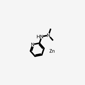 CN(C)Nc1ccccn1.[Zn]